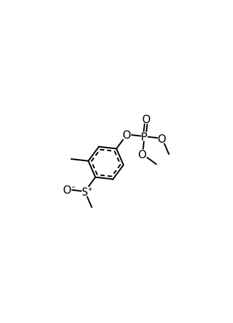 COP(=O)(OC)Oc1ccc([S+](C)[O-])c(C)c1